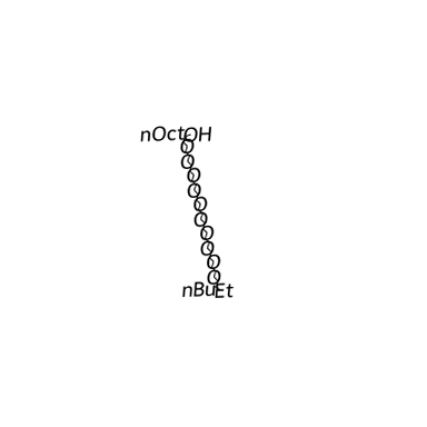 CCCCCCCCC(O)COCCOCCOCCOCCOCCOCCOCCOCCOCCOCC(CC)CCCC